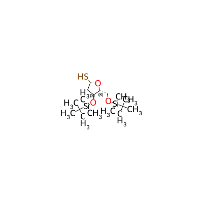 CC(C)(C)[Si](C)(C)OC[C@H]1OC(S)C[C@@H]1O[Si](C)(C)C(C)(C)C